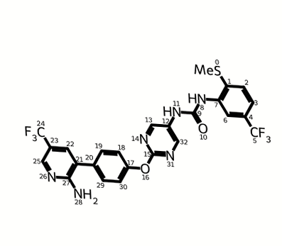 CSc1ccc(C(F)(F)F)cc1NC(=O)Nc1cnc(Oc2ccc(-c3cc(C(F)(F)F)cnc3N)cc2)nc1